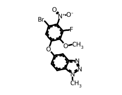 COc1c(Oc2ccc3c(c2)nnn3C)cc(Br)c([N+](=O)[O-])c1F